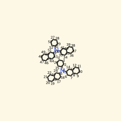 c1ccc(N(c2ccc3ccccc3c2)c2ccc3ccccc3c2)cc1.c1ccc(N(c2ccc3ccccc3c2)c2ccc3ccccc3c2)cc1